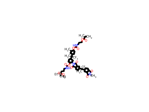 C=C(C)C(=O)OCCCNC(=O)Oc1ccc(C(C)(c2ccc(OC(=O)NCCC[Si](C)(OCC)OCC)c(N3C(=O)c4ccc(C(C)(c5ccc6c(c5)C(=O)N(C)C6=O)C(F)(F)F)cc4C3=O)c2)C(F)(F)F)cc1C